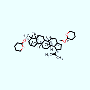 C=C(C)[C@@H]1CC[C@]2(CO[C@@H]3CCCCO3)CC[C@]3(C)[C@H](CC[C@@H]4[C@@]5(C)CC[C@H](OC6CCCCO6)C(C)(C)[C@@H]5CC[C@]43C)C12